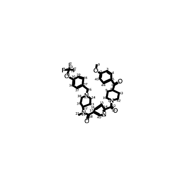 COc1ccc(C(=O)C2CCN(C(=O)c3ccc(C(=O)N(C)C4CCN(Cc5ccc(OC(F)(F)F)cc5)CC4)cn3)CC2)cc1